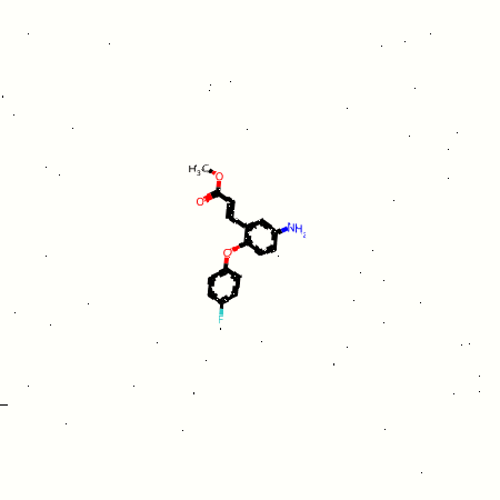 COC(=O)/C=C/c1cc(N)ccc1Oc1ccc(F)cc1